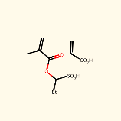 C=C(C)C(=O)OC(CC)S(=O)(=O)O.C=CC(=O)O